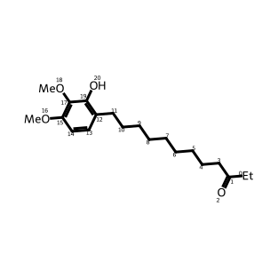 CCC(=O)CCCCCCCCCc1ccc(OC)c(OC)c1O